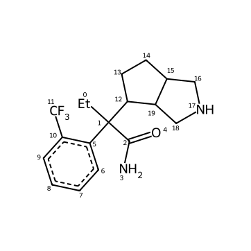 CCC(C(N)=O)(c1ccccc1C(F)(F)F)C1CCC2CNCC21